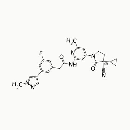 Cc1cc(N2CC[C@@](C#N)(C3CC3)C2=O)cc(NC(=O)Cc2cc(F)cc(-c3cnn(C)c3)c2)n1